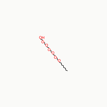 CCCCCCCCOCCOCCOCCOCCOCCOCCO